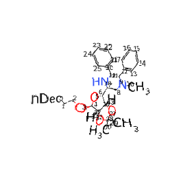 CCCCCCCCCCCCO[C@H]1O[C@H]([C@H](CN(C)Cc2ccccc2)NCc2ccccc2)[C@@H]2OC(C)(C)O[C@H]12